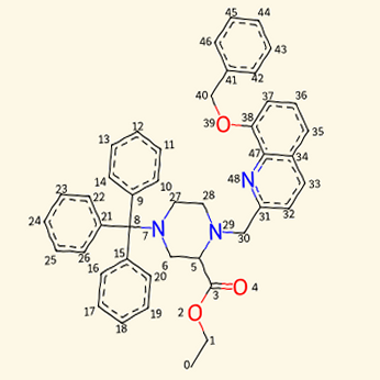 CCOC(=O)C1CN(C(c2ccccc2)(c2ccccc2)c2ccccc2)CCN1Cc1ccc2cccc(OCc3ccccc3)c2n1